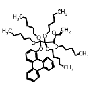 C=CC(=O)C(OCCCCC)C(OCCCCC)(OCCCCC)C(OCCCCC)(OCCCCC)Oc1cccc2c3ccccc3c3ccccc3c12